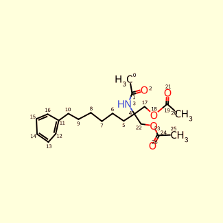 CC(=O)NC(CCCCCCc1ccccc1)(COC(C)=O)COC(C)=O